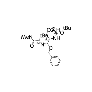 CNC(=O)[C@@H](N=C(OCc1ccccc1)[C@@H](CC(=O)O)NC(=O)OC(C)(C)C)C(C)(C)C